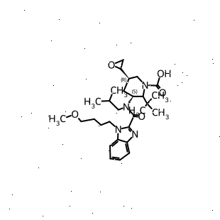 COCCCCn1c(C(=O)N(CC(C)C)[C@H]2C[C@@H](C3CO3)CN(C(=O)O)C2C(C)(C)C)nc2ccccc21